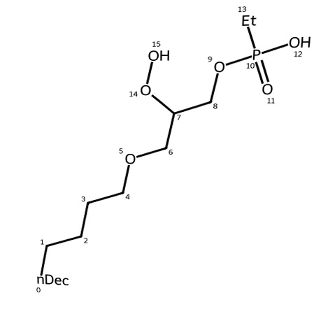 CCCCCCCCCCCCCCOCC(COP(=O)(O)CC)OO